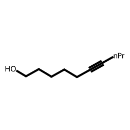 CCCC#CCCCCCO